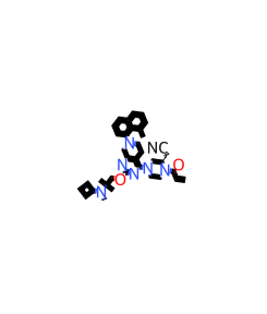 C=CC(=O)N1CCN(c2nc(OCC(C)(C)N(C)C3CCC3)nc3c2CCN(c2cccc4cccc(C)c24)C3)C[C@@H]1CC#N